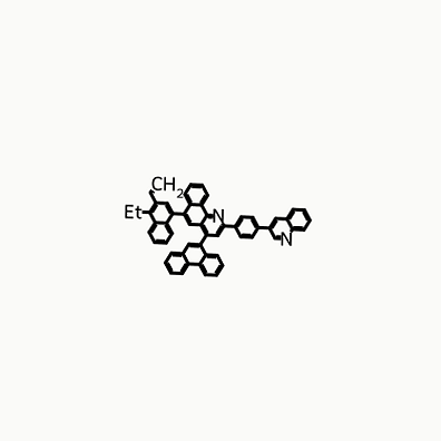 C=Cc1cc(-c2cc3c(-c4cc5ccccc5c5ccccc45)cc(-c4ccc(-c5cnc6ccccc6c5)cc4)nc3c3ccccc23)c2ccccc2c1CC